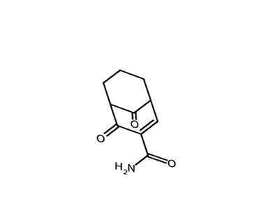 NC(=O)C1=CC2CCCC(C1=O)C2=O